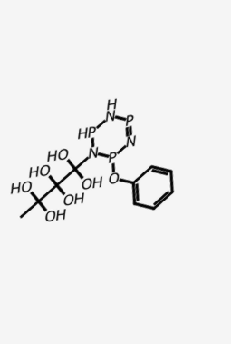 CC(O)(O)C(O)(O)C(O)(O)n1[pH][nH]pnp1Oc1ccccc1